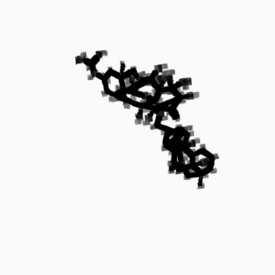 C=C1C[C@@]23C[C@H]4[C@@H]5[C@@]6(C)C[C@H](OC(=O)C(C)CC)C[C@@]57[C@@H]2[C@H](OCC2=CC58CC[C@]9(O)[C@@]%10(C)CCC[C@@]9%11[C@@H]5CC2CC8[C@H]%11N(C)C%10)[C@@H]1[C@@H](O)[C@]3(O)[C@H]7N4C6